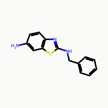 Nc1ccc2nc(NCc3ccccc3)sc2c1